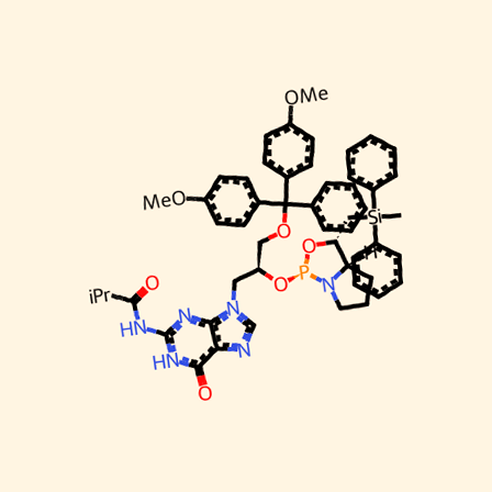 COc1ccc(C(OC[C@H](Cn2cnc3c(=O)[nH]c(NC(=O)C(C)C)nc32)O[P@@]2O[C@H](C[Si](C)(c3ccccc3)c3ccccc3)[C@@H]3CCCN32)(c2ccccc2)c2ccc(OC)cc2)cc1